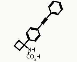 O=C(O)NC1(c2ccc(C#Cc3ccccc3)cc2)CCC1